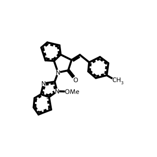 COn1c(N2C(=O)/C(=C\c3ccc(C)cc3)c3ccccc32)nc2ccccc21